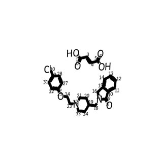 O=C(O)/C=C/C(=O)O.O=C1c2ccccc2CN1CC1CCN(CCOc2ccc(Cl)cc2)CC1